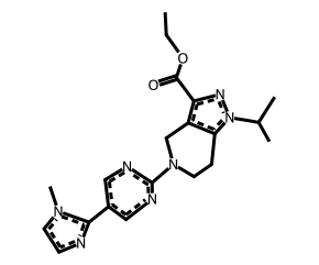 CCOC(=O)c1nn(C(C)C)c2c1CN(c1ncc(-c3nccn3C)cn1)CC2